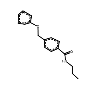 CCCNC(=O)c1ccc(COc2ccccc2)cc1